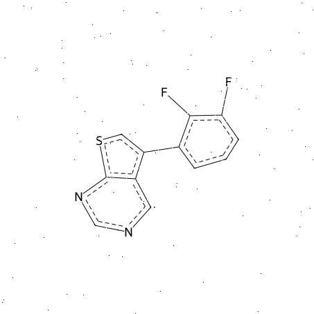 Fc1cccc(-c2csc3ncn[c]c23)c1F